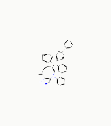 C=C1/C=C\C([Si](c2ccccc2)(c2ccccc2)c2ccc(-c3ccccc3)cc2)=C/N(c2ccccc2)c2cn[nH]c21